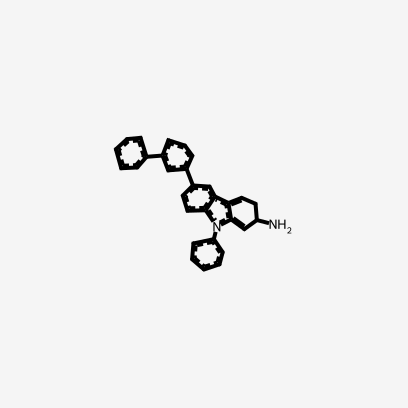 NC1C=c2c(c3cc(-c4cccc(-c5ccccc5)c4)ccc3n2-c2ccccc2)=CC1